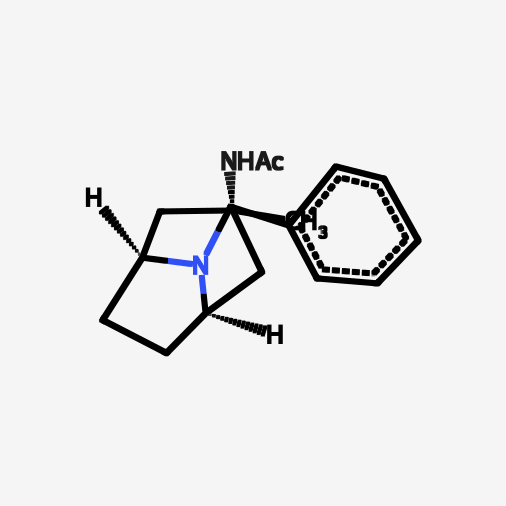 CC(=O)N[C@]1(C)C[C@H]2CC[C@@H](C1)N2Cc1ccccc1